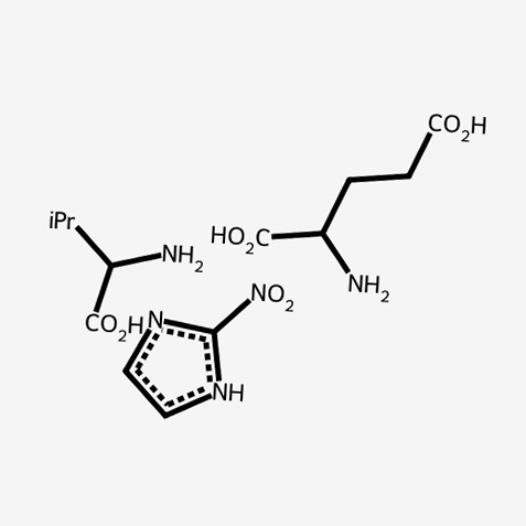 CC(C)C(N)C(=O)O.NC(CCC(=O)O)C(=O)O.O=[N+]([O-])c1ncc[nH]1